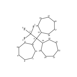 FC(F)(F)C(C1CCCCCC1)(C1CCCCCC1)C1CCCCCC1